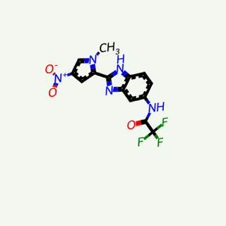 Cn1cc([N+](=O)[O-])cc1-c1nc2cc(NC(=O)C(F)(F)F)ccc2[nH]1